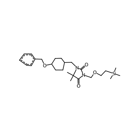 CC1(C)C(=O)N(COCC[Si](C)(C)C)C(=O)N1CC1CCC(OCc2ccccc2)CC1